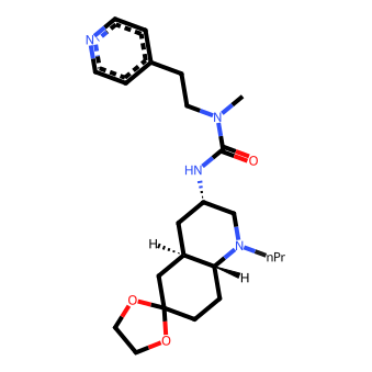 CCCN1C[C@@H](NC(=O)N(C)CCc2ccncc2)C[C@@H]2CC3(CC[C@H]21)OCCO3